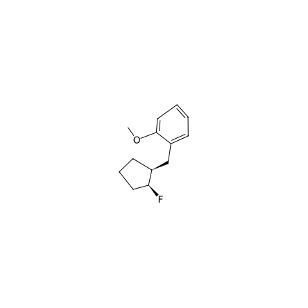 COc1ccccc1C[C@@H]1CCC[C@@H]1F